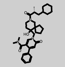 C[C@H](CC1CCCCC1)C(=O)N1CCC(O)(Cn2cc(C(=O)N(C)C)c(-c3ccccc3)cc2=O)C2(CCCC2)C1